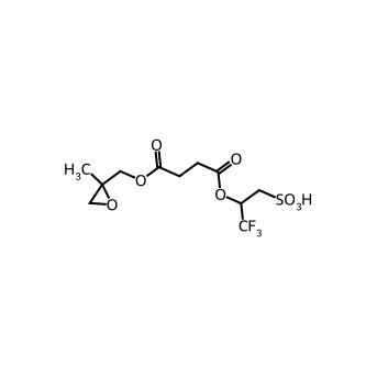 CC1(COC(=O)CCC(=O)OC(CS(=O)(=O)O)C(F)(F)F)CO1